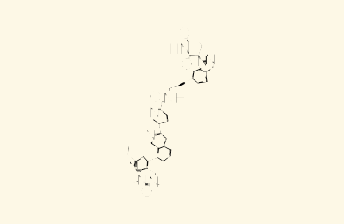 CCc1cc(-c2cccc3cc(-c4ccc(C(=O)NCC#Cc5ccc6cnn(C7CCC(=O)NC7=O)c6c5)nc4)ncc23)c2c(n1)N(C)C(=O)N(C)C2